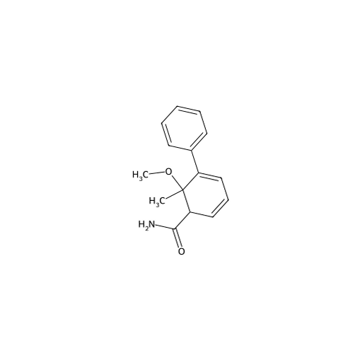 COC1(C)C(c2ccccc2)=CC=CC1C(N)=O